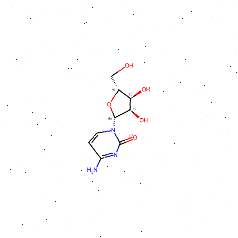 Nc1ccn([C@@H]2O[C@H](CO)[C@@H](O)[C@H]2O)c(=[17O])n1